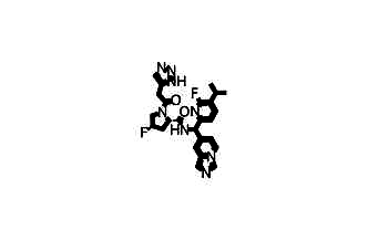 CC(C)c1ccc(C(NC(=O)[C@@H]2C[C@@H](F)CN2C(=O)Cc2cnn[nH]2)c2ccn3cncc3c2)nc1F